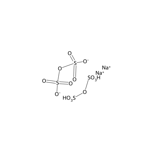 O=S(=O)(O)OS(=O)(=O)O.O=S(=O)([O-])OS(=O)(=O)[O-].[Na+].[Na+]